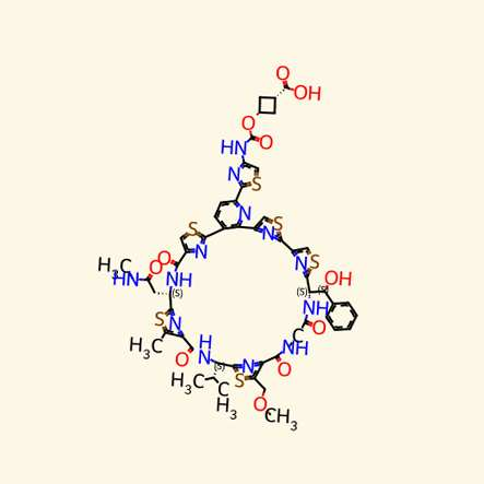 CNC(=O)C[C@@H]1NC(=O)c2csc(n2)-c2ccc(-c3nc(NC(=O)O[C@H]4C[C@@H](C(=O)O)C4)cs3)nc2-c2csc(n2)-c2csc(n2)[C@H]([C@@H](O)c2ccccc2)NC(=O)CNC(=O)c2nc(sc2COC)[C@H](C(C)C)NC(=O)c2nc1sc2C